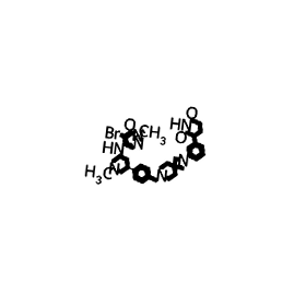 CN1C[C@H](Nc2cnn(C)c(=O)c2Br)C[C@H](c2ccc(CN3CCC4(CC3)CN(c3cccc(C5CCC(=O)NC5=O)c3)C4)cc2)C1